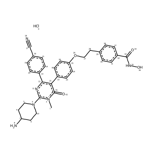 Cl.Cn1c(N2CCC(N)CC2)nc(-c2ccc(C#N)cc2)c(-c2ccc(OCCc3ccc(C(=O)NO)cc3)cc2)c1=O